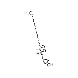 CCCCCCCCCCCCCCCCCC(=O)NC(=O)NCCc1ccc(O)cc1